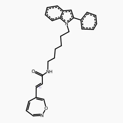 O=C(/C=C/C1=CON=CC=C1)NCCCCCCn1c(-c2ccccc2)cc2ccccc21